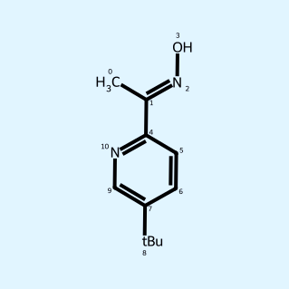 C/C(=N\O)c1ccc(C(C)(C)C)cn1